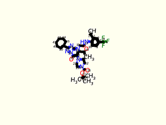 C#Cc1cc(C(F)(F)F)ccc1NC(=O)Cn1c(CC)c(N2CCN(C(=O)OC(C)(C)C)CC2)c(=O)n2nc(C3=CCCCCC3)nc12